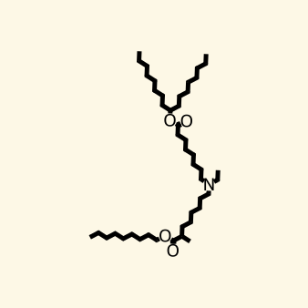 CCCCCCCCCOC(=O)C(C)CCCCCCN(CC)CCCCCCCC(=O)OC(CCCCCCCC)CCCCCCCC